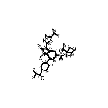 CC(C)C(=O)N1CC=C(c2cc(S(=O)(=O)NC3(CF)COC3)cc3c2n(C)c(=O)n3-c2nnc(C(F)F)s2)CC1